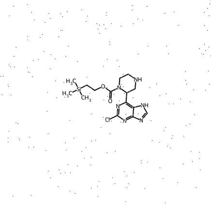 C[Si](C)(C)CCOC(=O)N1CCNCC1c1nc(Cl)nc2nc[nH]c12